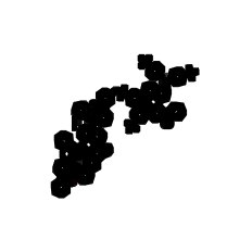 CC(C)(C)c1ccc(N(c2ccc(C(C)(C)C)cc2)c2ccc3c4c(cccc24)C(c2ccc(C(C)(C)C)cc2)(c2ccc(C(C)(C)Cc4ccc5oc6c(N(c7ccccc7F)c7ccc8c9c(cccc79)C7(c9ccccc9-c9ccccc97)c7cc(N(c9ccccc9F)c9cccc%10c9oc9ccccc9%10)c9oc%10ccccc%10c9c7-8)cccc6c5c4)cc2)c2ccc4oc5ccccc5c4c2-3)cc1